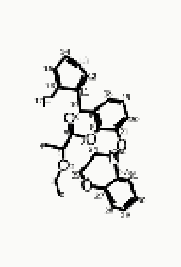 CCOC(C)C(=O)Oc1c(Cc2ccccc2F)cccc1ON1CCOc2ccccc21